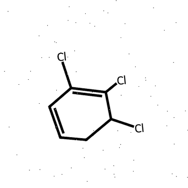 ClC1=C(Cl)C(Cl)CC=C1